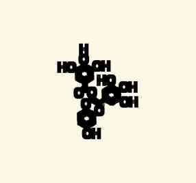 O=C(O[C@@H]1Oc2ccc(O)cc2O[C@@H]1c1cc(O)c(O)c(O)c1)c1cc(O)c(O)c(O)c1